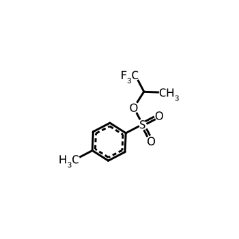 Cc1ccc(S(=O)(=O)OC(C)C(F)(F)F)cc1